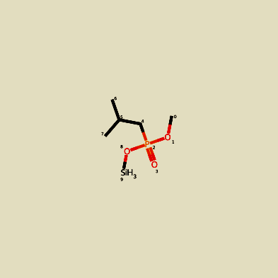 COP(=O)(CC(C)C)O[SiH3]